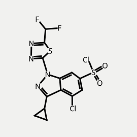 O=S(=O)(Cl)c1cc(Cl)c2c(C3CC3)nn(-c3nnc(C(F)F)s3)c2c1